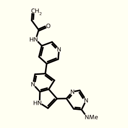 C=CC(=O)Nc1cncc(-c2cnc3[nH]cc(-c4cc(NC)ncn4)c3c2)c1